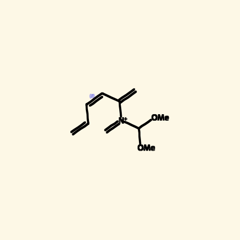 C=C/C=C\C(=C)[N+](=C)C(OC)OC